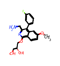 COc1ccc2c(OC[C@@H](O)CO)nc(CN)c(-c3cccc(F)c3)c2c1